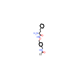 CCC(=O)NCc1ccc(CONC(=O)[C@H](N)CCc2ccccc2)cc1